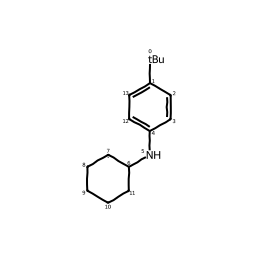 CC(C)(C)c1ccc(NC2[CH]CCCC2)cc1